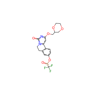 O=c1nc(OCC2COCCO2)cc2n1CCc1cc(OS(=O)C(F)(F)F)ccc1-2